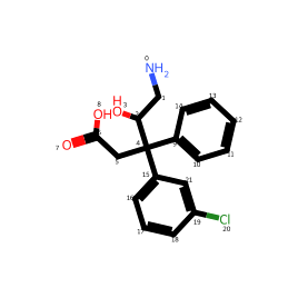 NCC(O)C(CC(=O)O)(c1ccccc1)c1cccc(Cl)c1